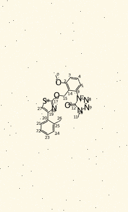 COc1cccc(-n2nnn(C)c2=O)c1COc1nc(-c2ccccc2C)cs1